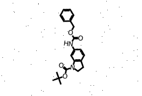 CC(C)(C)OC(=O)N1CCc2ccc(NC(=O)OCc3ccccc3)cc21